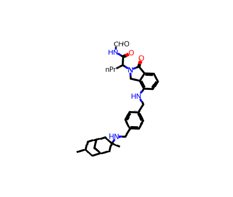 CCCC(C(=O)NC=O)N1Cc2c(NCc3ccc(CNC4(C)CC5CC(C)CC(C5)C4)cc3)cccc2C1=O